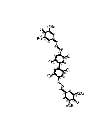 CC(C)(C)C1=CC(=C/N=N/c2cc(Cl)c(-c3cc(Cl)c(/N=N/C=C4C=C(C(C)(C)C)C(=O)C(C(C)(C)C)=C4)cc3Cl)cc2Cl)C=C(C(C)(C)C)C1=O